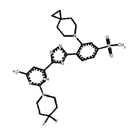 Cc1cc(-c2nnc(-c3ccc(S(C)(=O)=O)cc3N3CCC4(CC3)CC4)o2)nc(N2CCC(F)(F)CC2)n1